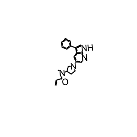 C=CC(=O)N(C)C1CCN(c2cnc3[nH]cc(-c4ccccc4)c3c2)C1